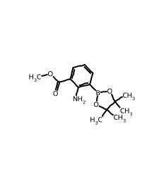 COC(=O)c1cccc(B2OC(C)(C)C(C)(C)O2)c1N